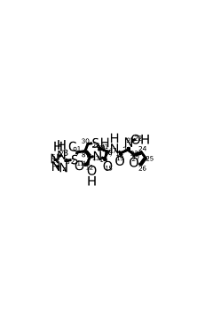 CC(Sc1nnn[nH]1)C1=C(C(=O)O)N2C(=O)[C@@H](NC(=O)C(=NO)c3ccco3)[C@@H]2SC1